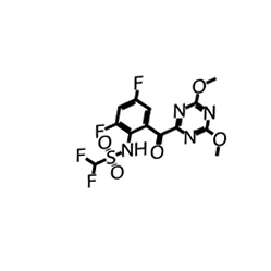 COc1nc(OC)nc(C(=O)c2cc(F)cc(F)c2NS(=O)(=O)C(F)F)n1